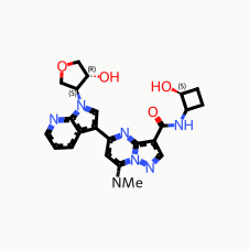 CNc1cc(-c2cn([C@H]3COC[C@@H]3O)c3ncccc23)nc2c(C(=O)NC3CC[C@@H]3O)cnn12